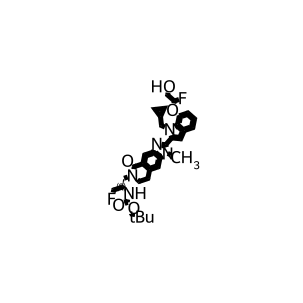 Cn1c(-c2cc3cccc(OC(F)CO)c3n2CC2CC2)nc2cc3c(cc21)CCN(C[C@@H](CF)NC(=O)OC(C)(C)C)C3=O